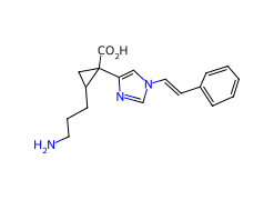 NCCCC1CC1(C(=O)O)c1cn(/C=C/c2ccccc2)cn1